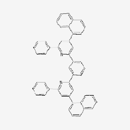 c1ccc(-c2cc(-c3cccc4ccccc34)cc(-c3cccc(-c4cc(-c5cccc6ccccc56)cc(-c5ccccc5)n4)c3)n2)cc1